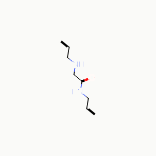 C=CCNCC(=O)NCC=C